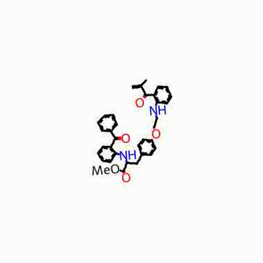 C=C(C)C(=O)c1ccccc1NCCOc1ccc(CC(Nc2ccccc2C(=O)c2ccccc2)C(=O)OC)cc1